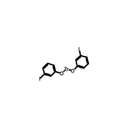 Ic1cccc([O][Zr][O]c2cccc(I)c2)c1